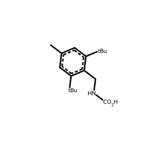 Cc1cc(C(C)(C)C)c(CNC(=O)O)c(C(C)(C)C)c1